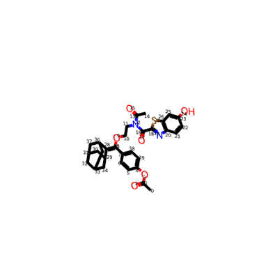 CC(=O)Oc1ccc(C(OCCN(C(C)=O)C(=O)c2nc3ccc(O)cc3s2)=C2C3CC4CC(C3)CC2C4)cc1